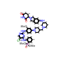 COc1cc(N2CCC(CN3CCC[C@@H](Nc4ccc5c(c4)CN(C4CCC(=O)NC4=O)C5)C3)CC2)ccc1Nc1ncc(Cl)c(Nc2ccccc2P(=O)(OC)OC)n1